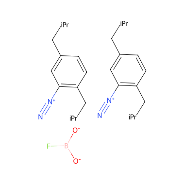 CC(C)Cc1ccc(CC(C)C)c([N+]#N)c1.CC(C)Cc1ccc(CC(C)C)c([N+]#N)c1.[O-]B([O-])F